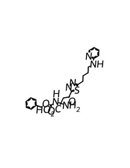 N[C@@](CC(=O)c1nnc(CCCCNc2ccccn2)s1)(NC(=O)OCc1ccccc1)C(=O)O